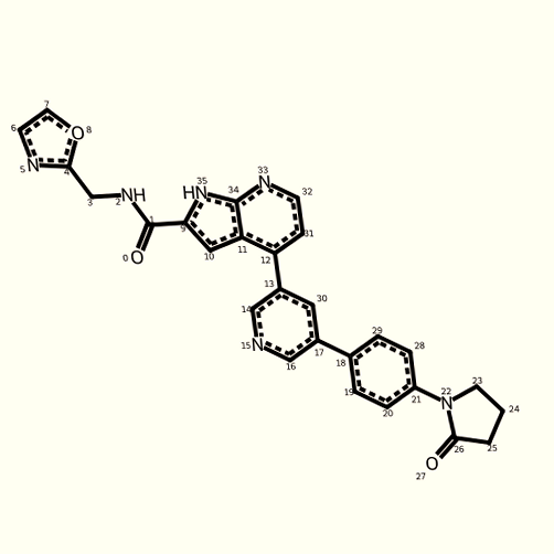 O=C(NCc1ncco1)c1cc2c(-c3cncc(-c4ccc(N5CCCC5=O)cc4)c3)ccnc2[nH]1